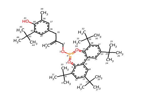 C=C(COp1oc2c(C(C)(C)C)cc(C(C)(C)C)cc2c2cc(C(C)(C)C)cc(C(C)(C)C)c2o1)Cc1cc(C)c(O)c(C(C)(C)C)c1